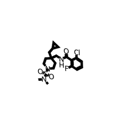 CN(C)S(=O)(=O)N1CCC(CNC(=O)c2c(F)cccc2Cl)(CC2CC2)CC1